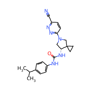 CC(C)c1ccc(NC(=O)N[C@@H]2CN(c3ccc(C#N)nn3)CC23CC3)cc1